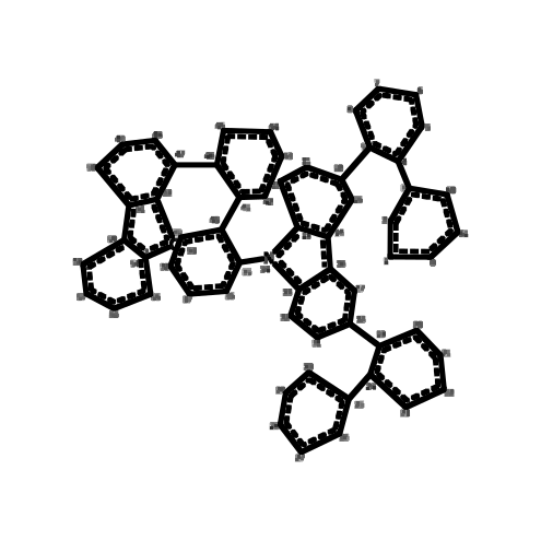 c1ccc(-c2ccccc2-c2ccc3c(c2)c2cc(-c4ccccc4-c4ccccc4)ccc2n3-c2ccccc2-c2ccccc2-c2cccc3c2oc2ccccc23)cc1